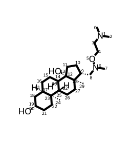 CN(C)CCON(C)C[C@H]1CC[C@]2(O)[C@@H]3CC[C@@H]4C[C@@H](O)CC[C@]4(C)[C@H]3CC[C@]12C